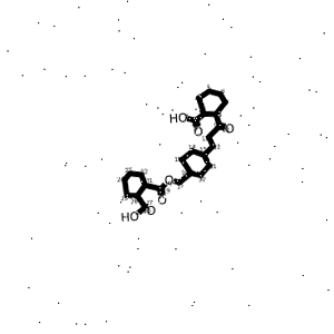 O=C(O)C1CCCCC1C(=O)CCC1CCC(COC(=O)C2CCCCC2C(=O)O)CC1